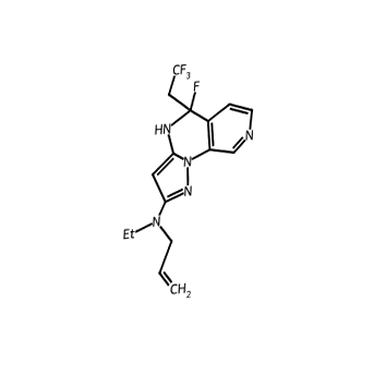 C=CCN(CC)c1cc2n(n1)-c1cnccc1C(F)(CC(F)(F)F)N2